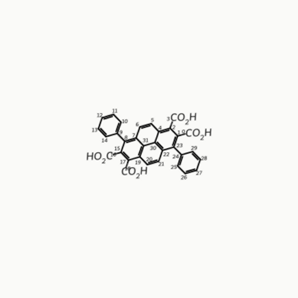 O=C(O)c1c(C(=O)O)c2ccc3c(-c4ccccc4)c(C(=O)O)c(C(=O)O)c4ccc(c1-c1ccccc1)c2c43